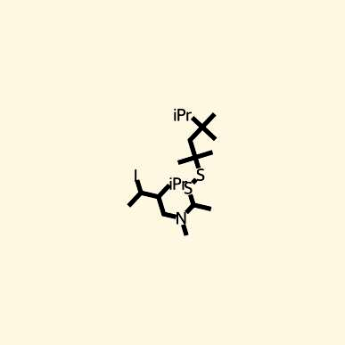 CC(C)C(CN(C)C(C)SSC(C)(C)CC(C)(C)C(C)C)C(C)I